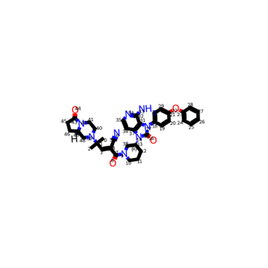 CC(C)(C=C(C#N)C(=O)N1CCC[C@@H](n2c(=O)n(-c3ccc(Oc4ccccc4)cc3)c3c(N)nccc32)C1)N1CCN2C(=O)CC[C@H]2C1